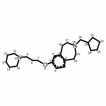 c1cc2c(cc1OCCCN1CCCCC1)CCN(CC1CCCC1)CC2